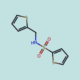 O=S(=O)(NCc1cccs1)c1cccs1